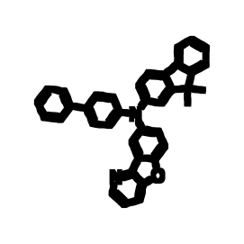 CC1(C)c2ccccc2-c2ccc(N(c3ccc(-c4ccccc4)cc3)c3ccc4oc5cccnc5c4c3)cc21